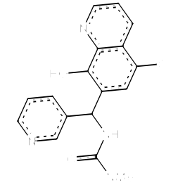 CNC(=O)NC(c1cccnc1)c1cc(Cl)c2cccnc2c1O